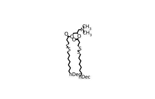 CCCCCCCCCCCCCCCCCSSCCC(=O)OCC(CN(C)C)OC(=O)CCSSCCCCCCCCCCCCCCCCC